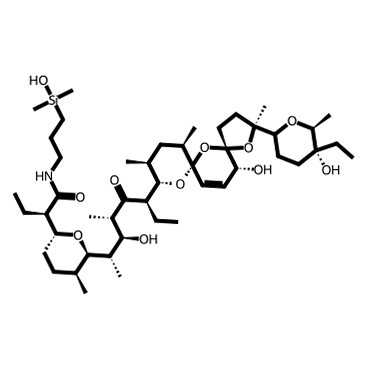 CC[C@@H](C(=O)[C@@H](C)[C@@H](O)[C@H](C)[C@@H]1O[C@@H]([C@@H](CC)C(=O)NCCC[Si](C)(C)O)CC[C@@H]1C)[C@H]1O[C@]2(C=C[C@@H](O)[C@]3(CC[C@@](C)(C4CC[C@](O)(CC)[C@H](C)O4)O3)O2)[C@H](C)C[C@@H]1C